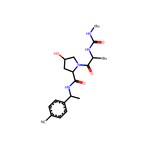 CC(NC(=O)C1CC(O)CN1C(=O)C(NC(=O)NC(C)(C)C)C(C)(C)C)c1ccc(C#N)cc1